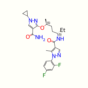 CC[C@@H](CC[C@H](C)Oc1nn(C2CC2)cc1C(N)=O)NC(=O)c1cnn(-c2ccc(F)cc2F)c1C